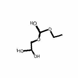 CCOC(O)OCC(O)O